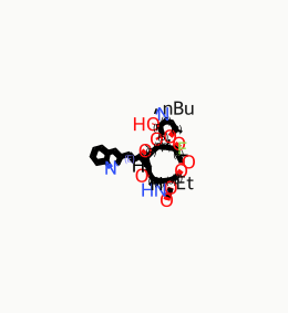 CCCCN(C)[C@H]1C[C@@H](C)O[C@@H](O[C@@H]2[C@@H](C)C(=O)[C@](C)(F)C(=O)O[C@H](CC)[C@@]3(C)OC(=O)N[C@@H]3[C@@H](C)C(=O)[C@H]3C[C@@]2(C)OC3/C=C/c2cnc3ccccc3c2)[C@@H]1O